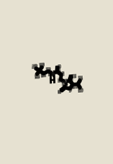 C=C(CCN1C(=C)CC(C(C)C)C1=C)NCCC(C)(C)C